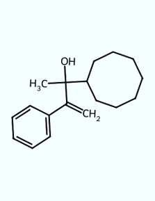 C=C(c1ccccc1)C(C)(O)C1CCCCCCC1